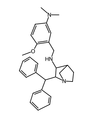 COc1ccc(N(C)C)cc1CNC1C2CCN(C2)C1C(c1ccccc1)c1ccccc1